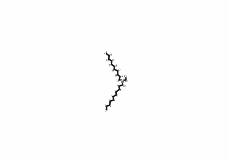 CCCCCCCCCCCN(CC)CCCCCCCCCCC